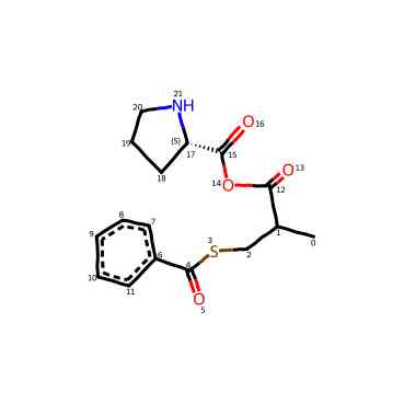 CC(CSC(=O)c1ccccc1)C(=O)OC(=O)[C@@H]1CCCN1